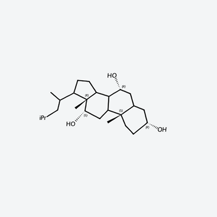 CC(C)CC(C)C1CCC2C3C(C[C@H](O)[C@]12C)[C@@]1(C)CC[C@@H](O)CC1C[C@H]3O